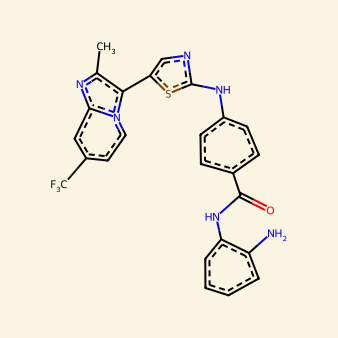 Cc1nc2cc(C(F)(F)F)ccn2c1-c1cnc(Nc2ccc(C(=O)Nc3ccccc3N)cc2)s1